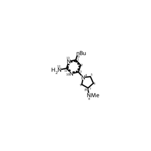 CCCCc1cc(N2CC[C@@H](NC)C2)nc(N)n1